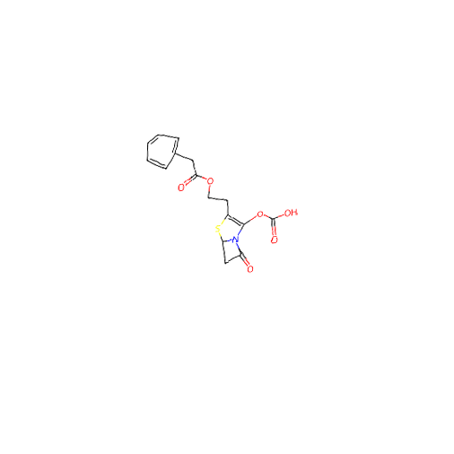 O=C(O)OC1=C(CCOC(=O)Cc2ccccc2)SC2CC(=O)N12